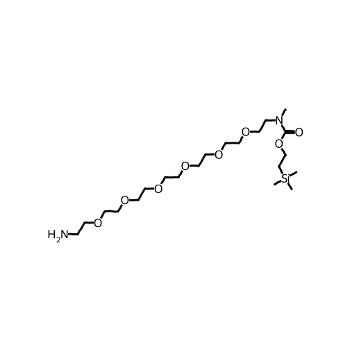 CN(CCOCCOCCOCCOCCOCCOCCN)C(=O)OCC[Si](C)(C)C